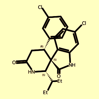 CCC(CC)[C@@H]1NC(=O)C[C@H](c2cccc(Cl)c2)[C@@]12C(=O)Nc1cc(Cl)ccc12